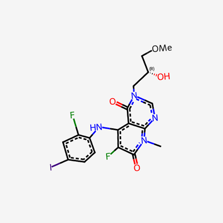 COC[C@H](O)Cn1cnc2c(c(Nc3ccc(I)cc3F)c(F)c(=O)n2C)c1=O